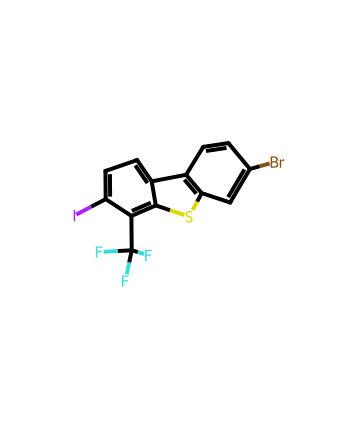 FC(F)(F)c1c(I)ccc2c1sc1cc(Br)ccc12